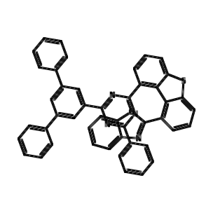 c1ccc(-c2cc(-c3ccccc3)cc(-c3nc(-c4ccccc4)nc(-c4cccc5sc6cccc(-c7nc8ccccc8o7)c6c45)n3)c2)cc1